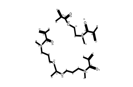 C=C(C)C(=O)N(C)CCCOC(C)OCCCN(C)C(=O)C(=C)C.C=C(C)C(=O)OCCN(C)C(=O)C(=C)C